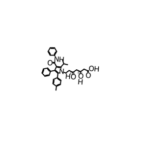 Cc1ccc(-c2c(-c3ccccc3)c(C(=O)Nc3ccccc3)c(C(C)C)n2CC[C@H](O)C[C@H](O)CC(=O)O)cc1